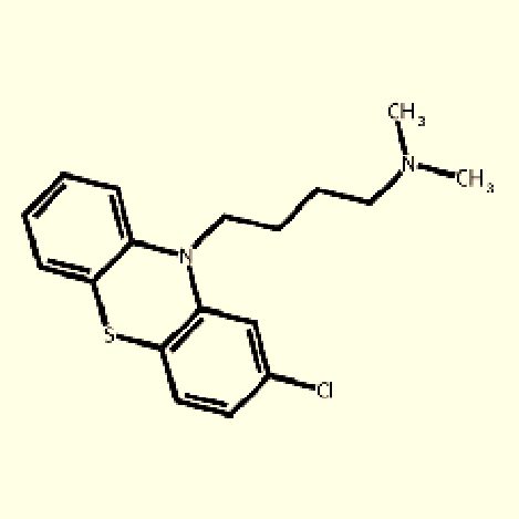 CN(C)CCCCN1c2ccccc2Sc2ccc(Cl)cc21